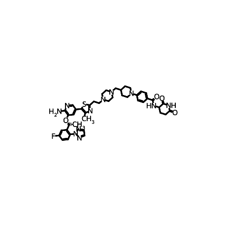 Cc1nc(CCN2CCN(CC3CCN(c4ccc(C(=O)NC5CCC(=O)NC5=O)cc4)CC3)CC2)sc1-c1cnc(N)c(O[C@H](C)c2cc(F)ccc2-n2nccn2)c1